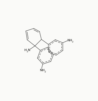 Nc1cccc(C2C=CC=CC2(N)c2cccc(N)c2)c1